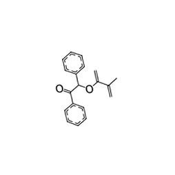 C=C(C)C(=C)OC(C(=O)c1ccccc1)c1ccccc1